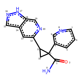 NC(=O)C1(c2cccnc2)CC1c1cc2cn[nH]c2cn1